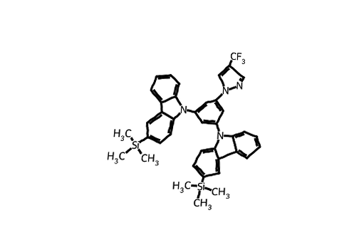 C[Si](C)(C)c1ccc2c(c1)c1ccccc1n2-c1cc(-n2cc(C(F)(F)F)cn2)cc(-n2c3ccccc3c3cc([Si](C)(C)C)ccc32)c1